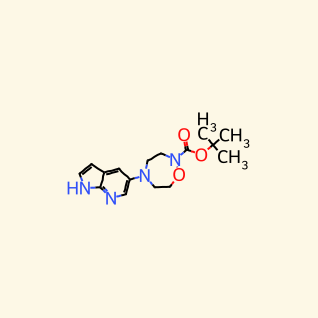 CC(C)(C)OC(=O)N1CCN(c2cnc3[nH]ccc3c2)CCO1